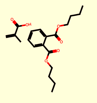 C=C(C)C(=O)O.CCCCOC(=O)c1ccccc1C(=O)OCCCC